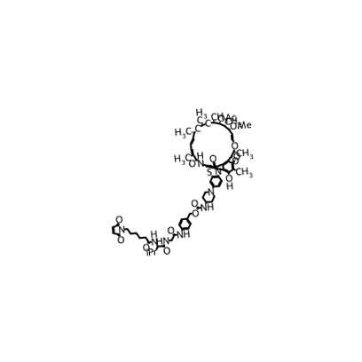 CO[C@H]1/C=C/O[C@@]2(C)Oc3c(C)c(O)c4c(=O)c(c5sc6cc(N7CCC(NC(=O)OCc8ccc(NC(=O)CNC(=O)C(NC(=O)CCCCCN9C(=O)C=CC9=O)C(C)C)cc8)CC7)ccc6nc-5c4c3C2=O)NC(=O)/C(C)=C\C=C\[C@H](C)C[C@@H](C)C[C@@H](C)[C@H](OC(C)=O)[C@@H]1C